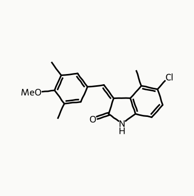 COc1c(C)cc(C=C2C(=O)Nc3ccc(Cl)c(C)c32)cc1C